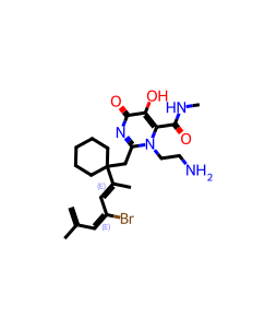 C=C(C)/C=C(Br)\C=C(/C)C1(Cc2nc(=O)c(O)c(C(=O)NC)n2CCN)CCCCC1